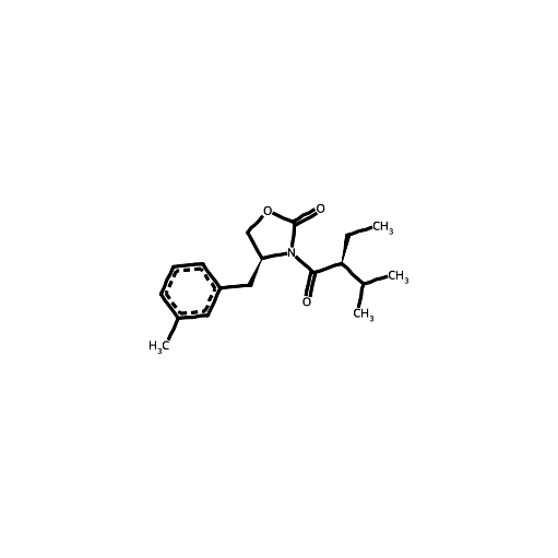 CC[C@H](C(=O)N1C(=O)OC[C@@H]1Cc1cccc(C)c1)C(C)C